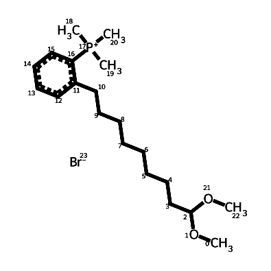 COC(CCCCCCCCc1ccccc1[P+](C)(C)C)OC.[Br-]